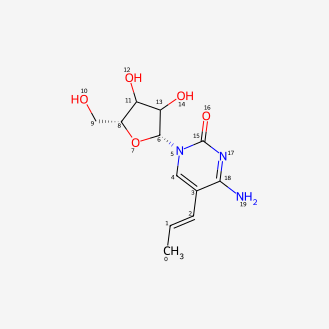 CC=Cc1cn([C@@H]2O[C@H](CO)C(O)C2O)c(=O)nc1N